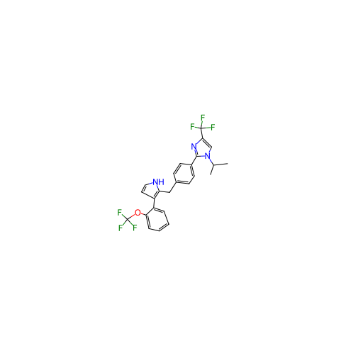 CC(C)n1cc(C(F)(F)F)nc1-c1ccc(Cc2[nH]ccc2-c2ccccc2OC(F)(F)F)cc1